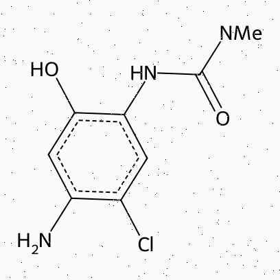 CNC(=O)Nc1cc(Cl)c(N)cc1O